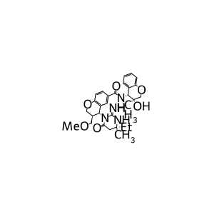 CC[C@]1(C)CC(=O)N([C@H]2c3cc(C(=O)N[C@@H]4c5ccccc5OC[C@@]4(C)O)ccc3OC[C@@H]2COC)C(=N)N1